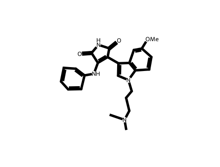 COc1ccc2c(c1)c(C1=C(Nc3ccccc3)C(=O)NC1=O)cn2CCCN(C)C